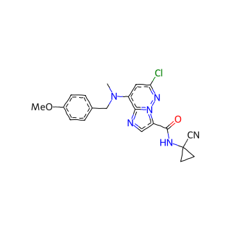 COc1ccc(CN(C)c2cc(Cl)nn3c(C(=O)NC4(C#N)CC4)cnc23)cc1